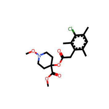 COC(=O)C1(OC(=O)Cc2c(C)cc(C)c(Cl)c2C)CCN(OC)CC1